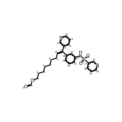 O=COCCCCCCCC=C(c1cccnc1)c1cccc(NS(=O)(=O)c2cccnc2)c1